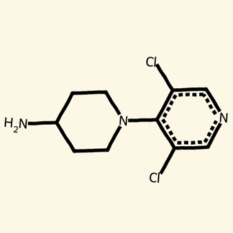 NC1CCN(c2c(Cl)cncc2Cl)CC1